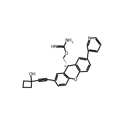 N=C(N)OC[C@H]1c2cc(C#CC3(O)CCC3)ccc2Oc2ccc(-c3cccnc3)cc21